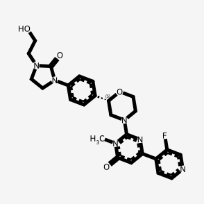 Cn1c(N2CCO[C@@H](c3ccc(N4CCN(CCO)C4=O)cc3)C2)nc(-c2ccncc2F)cc1=O